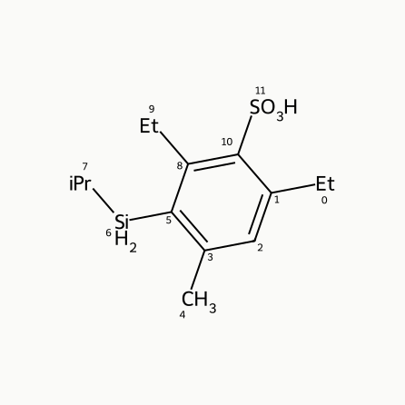 CCc1cc(C)c([SiH2]C(C)C)c(CC)c1S(=O)(=O)O